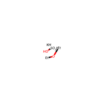 CCOCC.O=S(=O)(O)O.[KH]